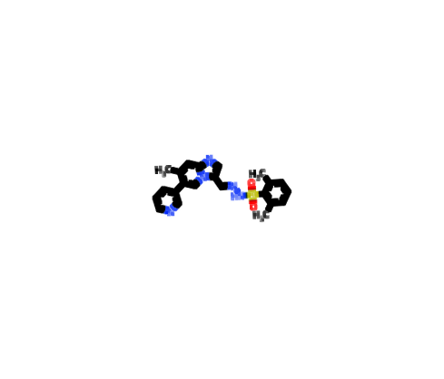 Cc1cc2ncc(C=NNS(=O)(=O)c3c(C)cccc3C)n2cc1-c1cccnc1